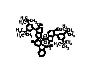 CCC(C)C1=Cc2c(ccc(C(C)(C)C)c2-c2cc([Si](C)(C)C)cc([Si](C)(C)C)c2)[CH]1[Zr]([Cl])([Cl])([c]1cccc2c1[SiH2]c1ccccc1-2)[CH]1C(C(C)CC)=Cc2c1ccc(C(C)(C)C)c2-c1cc([Si](C)(C)C)cc([Si](C)(C)C)c1